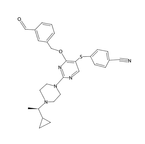 C[C@H](C1CC1)N1CCN(c2ncc(Sc3ccc(C#N)cc3)c(OCc3cccc(C=O)c3)n2)CC1